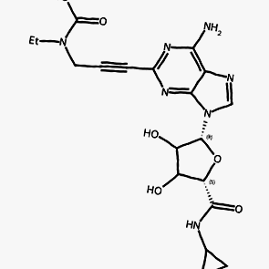 CCN(CC#Cc1nc(N)c2ncn([C@@H]3O[C@H](C(=O)NC4CC4)C(O)C3O)c2n1)C(=O)OC